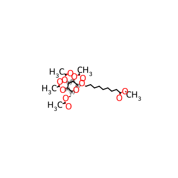 COC(=O)CCCCCCCCO[C@@H]1O[C@H](COC(C)=O)[C@@H](OC(C)=O)[C@H](OC(C)=O)[C@H]1OC(C)=O